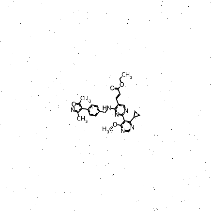 CCOC(=O)/C=C/c1cnc(-c2c(OC)ncnc2C2CC2)nc1NCc1ccc(-c2c(C)noc2C)cc1